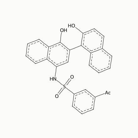 CC(=O)c1cccc(S(=O)(=O)Nc2cc(-c3c(O)ccc4ccccc34)c(O)c3ccccc23)c1